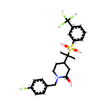 CC(C)(C1CCN(Cc2ccc(F)cc2)C(=O)C1)S(=O)(=O)c1cccc(C(F)(F)F)c1